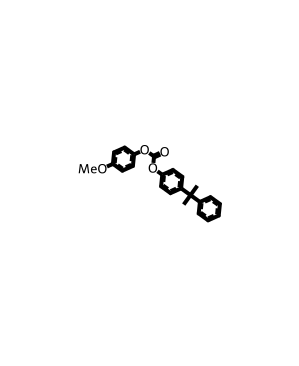 COc1ccc(OC(=O)Oc2ccc(C(C)(C)c3ccccc3)cc2)cc1